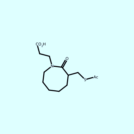 CC(=O)SCC1CCCCCN(CCC(=O)O)C1=O